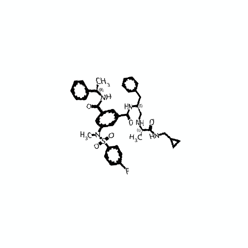 C[C@H](NC[C@H](Cc1ccccc1)NC(=O)c1cc(C(=O)N[C@H](C)c2ccccc2)cc(N(C)S(=O)(=O)c2ccc(F)cc2)c1)C(=O)NCC1CC1